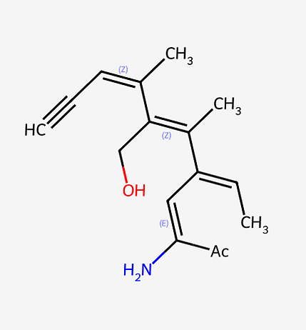 C#C/C=C(C)\C(CO)=C(/C)C(=CC)/C=C(/N)C(C)=O